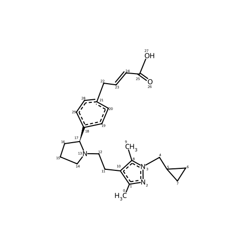 Cc1nn(CC2CC2)c(C)c1CCN1CCC[C@H]1c1ccc(C/C=C/C(=O)O)cc1